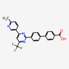 Cc1ccc(-c2cc(C(F)(F)F)nc(-c3ccc(-c4ccc(C(=O)O)cc4)cc3)n2)cn1